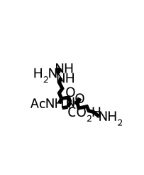 CC(=O)NC(CCCNC(=N)N)C(=O)N(C(=O)CCCCCN)C(C)C(=O)O